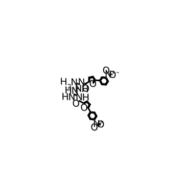 N=C(NNC(N)=NC(=O)c1ccc(-c2cccc([N+](=O)[O-])c2)o1)NC(=O)c1ccc(-c2ccc([N+](=O)[O-])cc2)o1